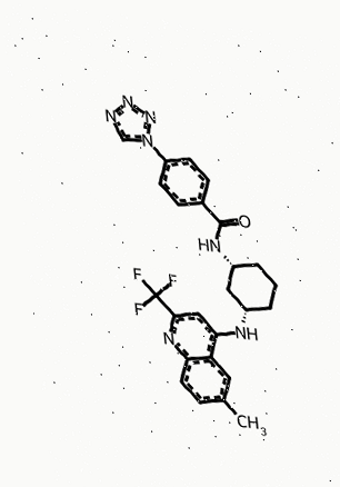 Cc1ccc2nc(C(F)(F)F)cc(N[C@H]3CCC[C@@H](NC(=O)c4ccc(-n5cnnn5)cc4)C3)c2c1